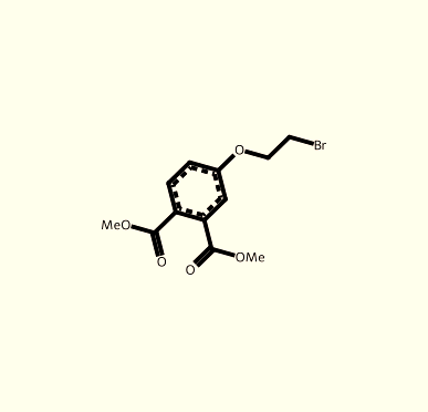 COC(=O)c1ccc(OCCBr)cc1C(=O)OC